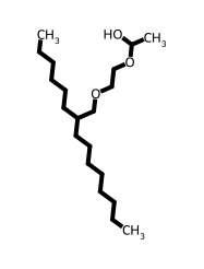 CCCCCCCCC(CCCCCC)COCCOC(C)O